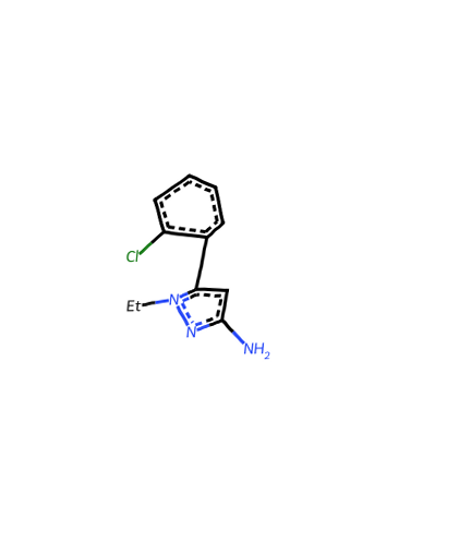 CCn1nc(N)cc1-c1ccccc1Cl